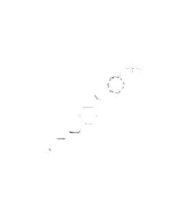 N#CC=CC=C[C@H]1CC[C@H](C(=O)Oc2ccc(OC(F)(F)F)cc2)CC1